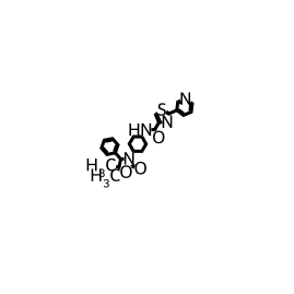 CC1(C)OC(=O)N(C2CCC(NC(=O)c3csc(-c4cccnc4)n3)CC2)C1c1ccccc1